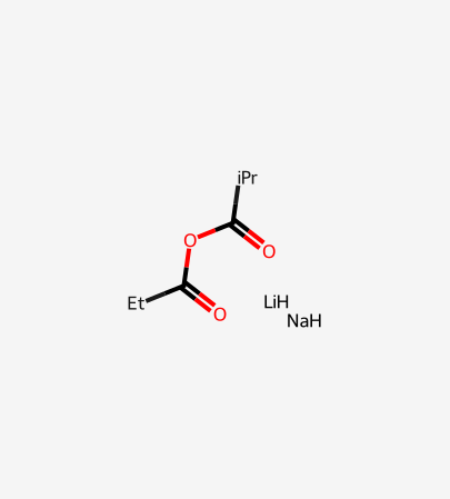 CCC(=O)OC(=O)C(C)C.[LiH].[NaH]